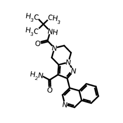 CC(C)(C)NC(=O)N1CCn2nc(-c3cncc4ccccc34)c(C(N)=O)c2C1